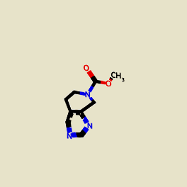 COC(=O)N1CCc2cncnc2C1